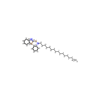 CCCCCCCCCCCCCCCCN(Sc1nc2ccccc2s1)c1ccccc1